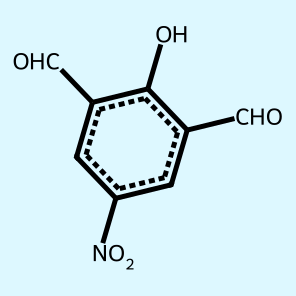 O=Cc1cc([N+](=O)[O-])cc(C=O)c1O